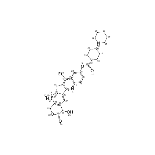 CCc1c2c(nc3ccc(OC(=O)N4CCC(N5CCCCC5)CC4)cc13)/C(=C/C1=C(C)COC(=O)C1O)N(C=O)C2